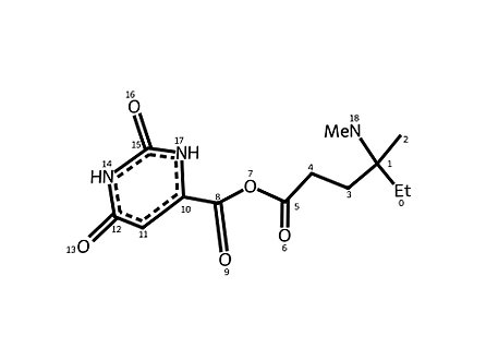 CCC(C)(CCC(=O)OC(=O)c1cc(=O)[nH]c(=O)[nH]1)NC